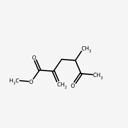 C=C(CC(C)C(C)=O)C(=O)OC